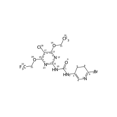 O=C(NC1=CN=C(Br)CC1)Nc1nc(OCC(F)(F)F)c(Cl)c(OCC(F)(F)F)n1